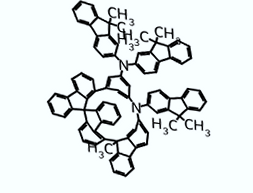 CC1(C)c2ccccc2-c2ccc(N(c3cc4cc(c3)N(c3ccc5c(c3)C(C)(C)c3ccccc3-5)c3ccc5c(c3)C(C)(c3ccccc3-5)c3cccc5c3-c3ccccc3C53c5ccccc5-c5cccc-4c53)c3ccc4c(c3)C(C)(C)c3ccccc3-4)cc21